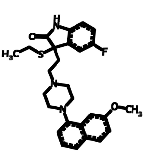 CCSC1(CCN2CCN(c3cccc4ccc(OC)cc34)CC2)C(=O)Nc2ccc(F)cc21